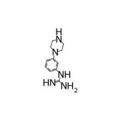 N=C(N)Nc1cccc(N2CCNCC2)c1